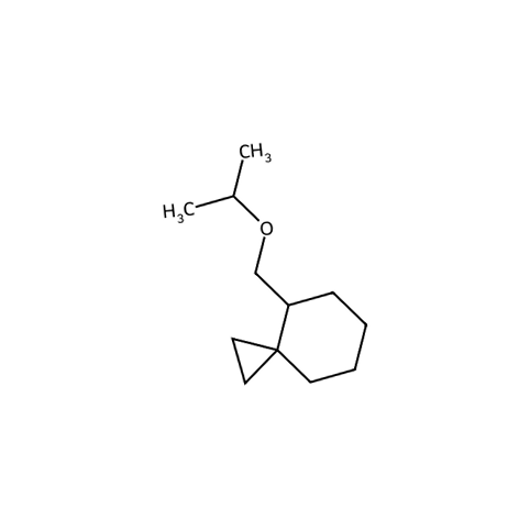 CC(C)OCC1CCCCC12CC2